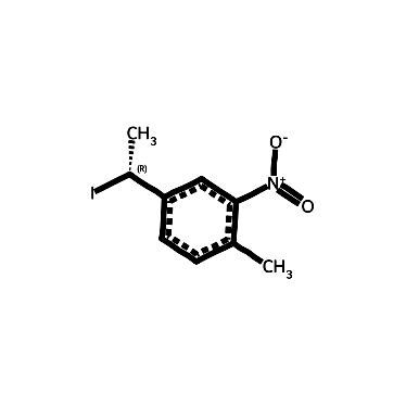 Cc1ccc([C@@H](C)I)cc1[N+](=O)[O-]